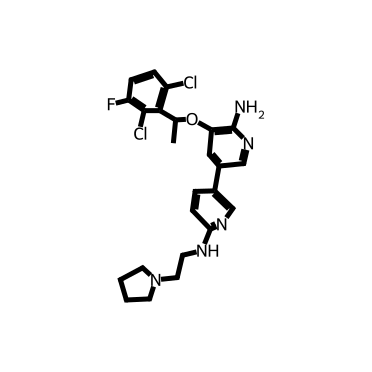 CC(Oc1cc(-c2ccc(NCCN3CCCC3)nc2)cnc1N)c1c(Cl)ccc(F)c1Cl